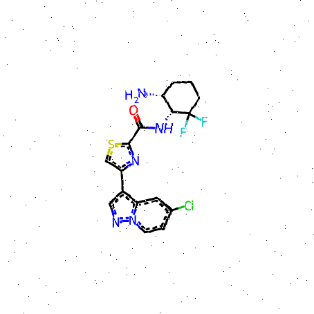 N[C@@H]1CCCC(F)(F)[C@@H]1NC(=O)c1nc(-c2cnn3ccc(Cl)cc23)cs1